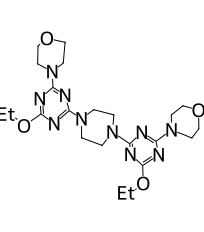 CCOc1nc(N2CCOCC2)nc(N2CCN(c3nc(OCC)nc(N4CCOCC4)n3)CC2)n1